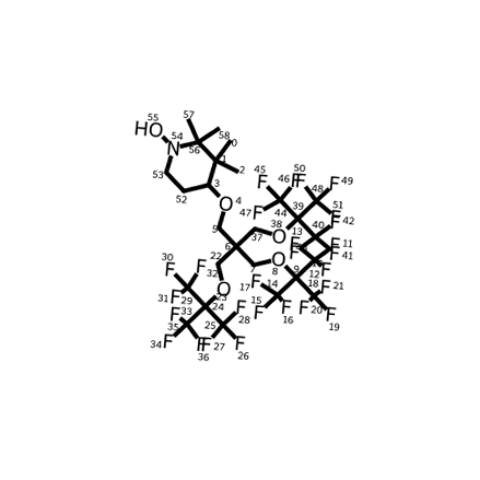 CC1(C)C(OCC(COC(C(F)(F)F)(C(F)(F)F)C(F)(F)F)(COC(C(F)(F)F)(C(F)(F)F)C(F)(F)F)COC(C(F)(F)F)(C(F)(F)F)C(F)(F)F)CCN(O)C1(C)C